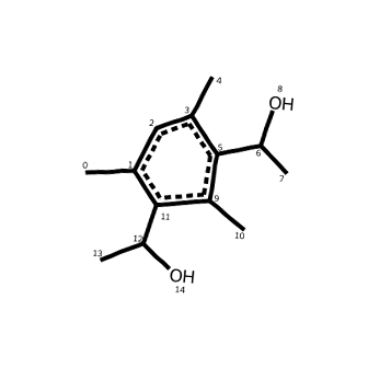 Cc1cc(C)c(C(C)O)c(C)c1C(C)O